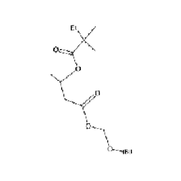 CCC(C)OCOC(=O)CC(C)OC(=O)C(C)(C)CC